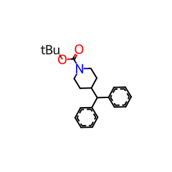 CC(C)(C)OC(=O)N1CCC(C(c2ccccc2)c2ccccc2)CC1